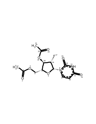 CC(=O)OC[C@H]1O[C@@H](n2ccc(=O)[nH]c2=O)[C@@H](F)[C@@H]1OC(C)=O